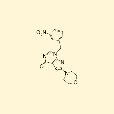 O=c1ncn(Cc2cccc([N+](=O)[O-])c2)c2nc(N3CCOCC3)sc12